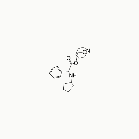 O=C(OC1CN2CCC1CC2)C(NC1CCCC1)c1ccccc1